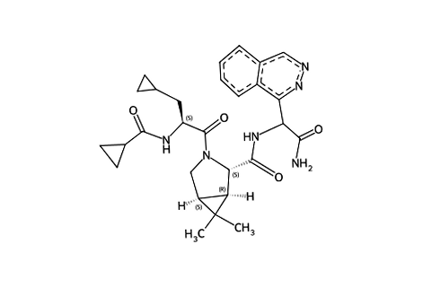 CC1(C)[C@@H]2[C@@H](C(=O)NC(C(N)=O)c3nncc4ccccc34)N(C(=O)[C@H](CC3CC3)NC(=O)C3CC3)C[C@@H]21